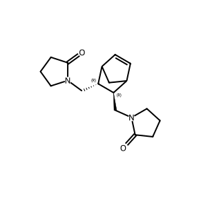 O=C1CCCN1C[C@@H]1C2C=CC(C2)[C@H]1CN1CCCC1=O